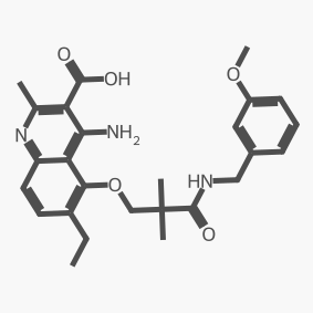 CCc1ccc2nc(C)c(C(=O)O)c(N)c2c1OCC(C)(C)C(=O)NCc1cccc(OC)c1